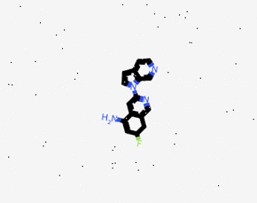 NC1=CC(F)Cc2cnc(-n3ccc4ccncc43)cc21